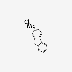 [Cl][Mg][c]1ccc2c(c1)Cc1ccccc1-2